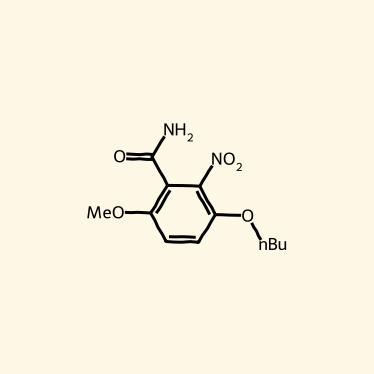 CCCCOc1ccc(OC)c(C(N)=O)c1[N+](=O)[O-]